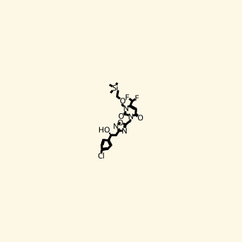 C[Si](C)(C)CCOCn1c(C(F)F)cc(=O)n(Cc2nc(C[C@H](O)c3ccc(Cl)cc3)no2)c1=O